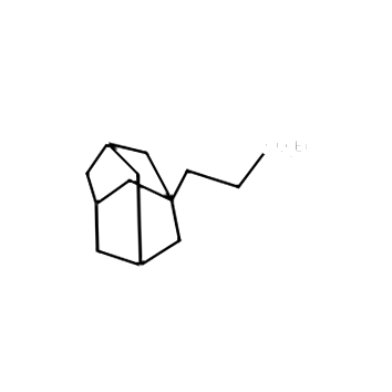 CCOC(=O)CCC12CC3CC(CC(C3)C1)C2